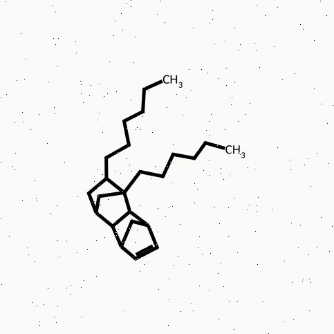 CCCCCCC1CC2CC1(CCCCCC)C1C3C=CC(C3)C21